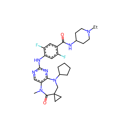 CCN1CCC(NC(=O)c2cc(F)c(Nc3ncc4c(n3)N(C3CCCC3)CC3(CC3)C(=O)N4C)cc2F)CC1